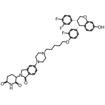 O=C1CCC(N2Cc3cc(N4CCN(CCCCCOc5ccc([C@H]6c7ccc(O)cc7OC[C@H]6c6ccc(F)c(F)c6)cc5F)CC4)ccc3C2=O)C(=O)N1